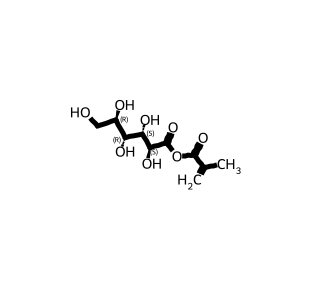 C=C(C)C(=O)OC(=O)[C@@H](O)[C@@H](O)[C@H](O)[C@H](O)CO